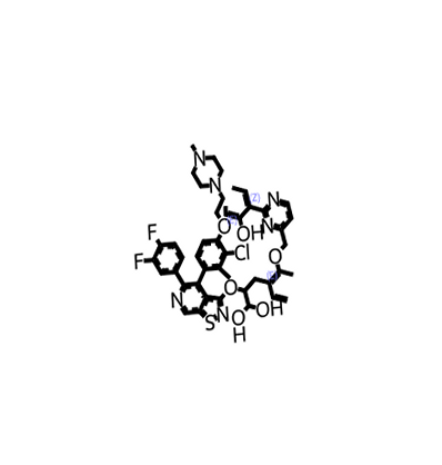 C=C/C(CC(Oc1nsc2cnc(-c3ccc(F)c(F)c3)c(-c3ccc(OCCN4CCN(C)CC4)c(Cl)c3C)c12)C(O)O)=C(\C)OCc1ccnc(C(=C/C)/C(O)=C\C)n1